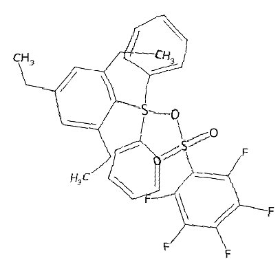 CCc1cc(CC)c(S(OS(=O)(=O)c2c(F)c(F)c(F)c(F)c2F)(c2ccccc2)c2ccccc2)c(CC)c1